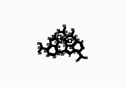 CC1=Cc2c(C(C)C)ccc(C)c2[CH]1[Zr]([Cl])([Cl])([CH]1C(C)=Cc2c(C(C)C)ccc(C)c21)=[Si](C(C)C)C(C)C